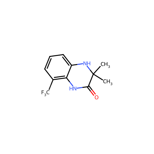 CC1(C)Nc2cccc(C(F)(F)F)c2NC1=O